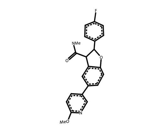 CNC(=O)C1c2cc(-c3ccc(OC)nc3)ccc2OC1c1ccc(F)cc1